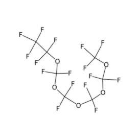 FC(F)(F)OC(F)(F)OC(F)(F)OC(F)(F)OC(F)(F)OC(F)(F)C(F)(F)F